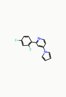 Fc1ccc(-c2cc(-n3cccc3)ccn2)c(F)c1